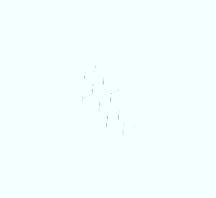 CCCCC(Cl)CCCCl.CCCCCC(Cl)CCCl